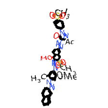 COc1cc(/N=N/c2ccc3ccccc3c2)c(C)cc1/N=N/c1c(S(C)(=O)=O)cc2cc(/N=N/C3C(=O)N(c4ccc(S(C)(=O)=O)cc4)N=C3C(C)=O)ccc2c1O